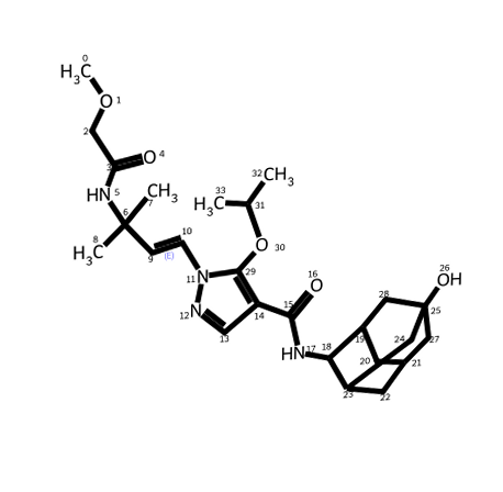 COCC(=O)NC(C)(C)/C=C/n1ncc(C(=O)NC2C3CC4CC2CC(O)(C4)C3)c1OC(C)C